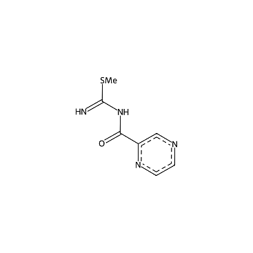 CSC(=N)NC(=O)c1cnccn1